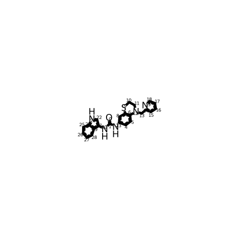 O=C(Nc1ccc2c(c1)SCCN2Cc1ccccn1)Nc1c[nH]c2ccccc12